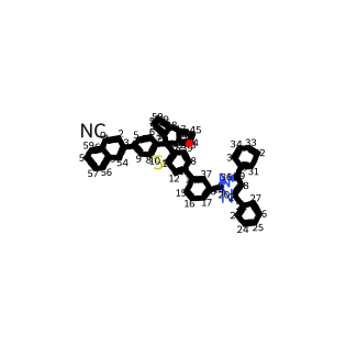 N#Cc1cc(-c2ccc3c(c2)Sc2cc(-c4cccc(-c5nc(-c6ccccc6)cc(-c6ccccc6)n5)c4)ccc2C32c3ccccc3-c3ccccc32)cc2ccccc12